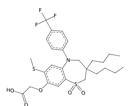 CCCCC1(CCCC)CN(c2ccc(C(F)(F)F)cc2)c2cc(SC)c(OCC(=O)O)cc2S(=O)(=O)C1